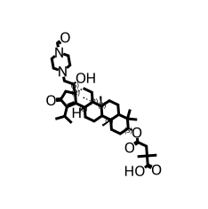 CC(C)C1=C2[C@H]3CCC4[C@@]5(C)CC[C@H](OC(=O)CC(C)(C)C(=O)O)C(C)(C)C5CC[C@@]4(C)[C@]3(C)CC[C@@]2([C@H](O)CN2CCN(C=O)CC2)CC1=O